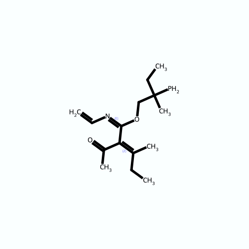 C=C/N=C(OCC(C)(P)CC)\C(C(C)=O)=C(/C)CC